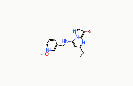 CCc1cc(NCc2ccc[n+](OC)c2)n2ncc(Br)c2n1